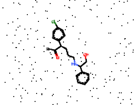 CC(C)C(=O)[C@H](CCCNC(CO)c1ccccc1)c1ccc(Cl)cc1